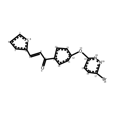 O=C(C=Cc1cccs1)c1ccc(Oc2ccc(Br)nn2)cc1